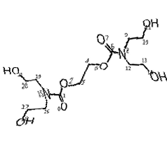 O=C(OCCOC(=O)N(CCO)CCO)N(CCO)CCO